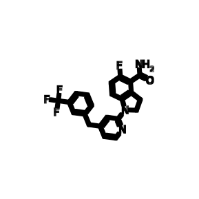 NC(=O)c1c(F)ccc2c1CCN2c1cc(Cc2cccc(C(F)(F)F)c2)ccn1